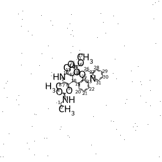 CCNC(=O)OC1=C(C)NC(C)=C(OC(=O)OC)C1c1ccccc1OCc1ccccn1